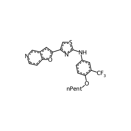 CCCCCOc1ccc(Nc2nc(-c3cc4cnccc4o3)cs2)cc1C(F)(F)F